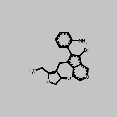 CCC1=C(Cc2c3ccocc-3c(Br)c2-c2ccccc2N)C(=O)CO1